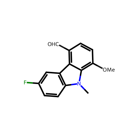 COc1ccc(C=O)c2c3cc(F)ccc3n(C)c12